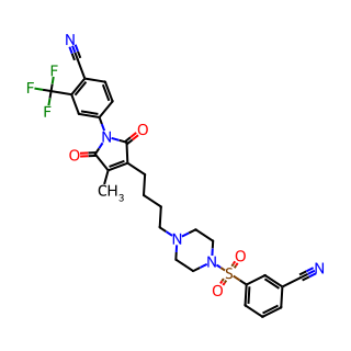 CC1=C(CCCCN2CCN(S(=O)(=O)c3cccc(C#N)c3)CC2)C(=O)N(c2ccc(C#N)c(C(F)(F)F)c2)C1=O